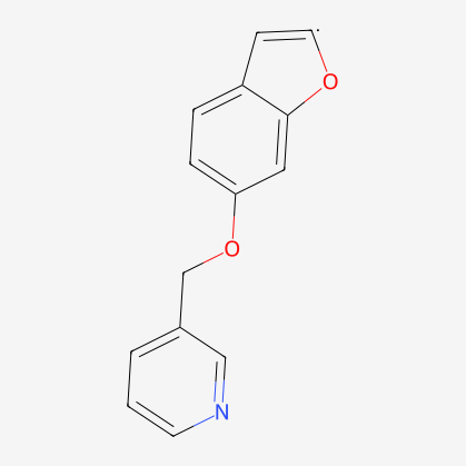 [c]1cc2ccc(OCc3cccnc3)cc2o1